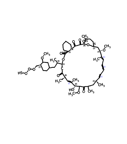 COC1CC(C[C@@H](C)[C@@H]2CC(=O)[C@H](C)/C=C(\C)[C@@H](O)C(OC)C(=O)C(C)C[C@H](C)/C=C/C=C/C=C(\C)[C@@H](OC)C[C@@H]3CC[C@@H](C)[C@@](O)(O3)C(=O)C(=O)N3CCCC[C@H]3C(=O)O2)CC[C@H]1COOOS